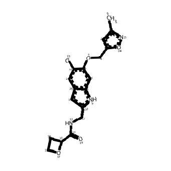 Cc1cc(COc2cc3[nH]c(CNC(=O)C4CCO4)cc3cc2Cl)on1